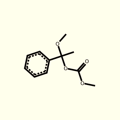 COC(=O)OC(C)(OC)c1ccccc1